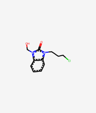 O=c1n(CO)c2ccccc2n1CCCCl